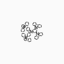 O=P(c1ccccc1)(c1ccccc1)c1ccc2c(c1)c1cc(P(=O)(c3ccccc3)c3ccccc3)ccc1n2-c1cc(-n2c3ccccc3c3ccccc32)cc(-n2c3ccccc3c3ccccc32)c1